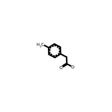 Cc1ccc(CC([O])=O)cc1